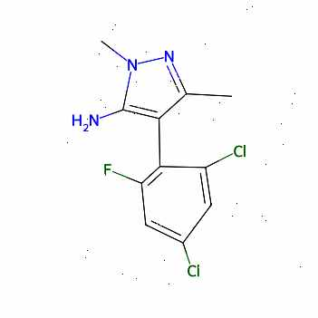 Cc1nn(C)c(N)c1-c1c(F)cc(Cl)cc1Cl